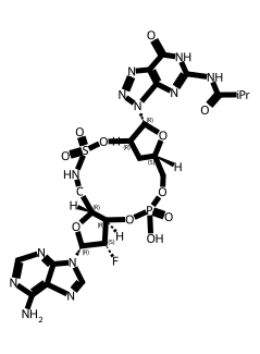 CC(C)C(=O)Nc1nc2c(nnn2[C@@H]2O[C@@H]3COP(=O)(O)O[C@H]4[C@H](F)[C@H](n5cnc6c(N)ncnc65)O[C@@H]4CNS(=O)(=O)O[C@@H]2C3)c(=O)[nH]1